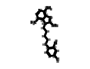 CCCCc1nc2c(N)ncc(C)c2n1CCCCSc1ccc(Cl)cc1Cl